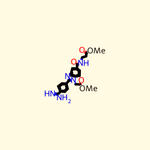 COC(=O)CCNC(=O)c1ccc2c(c1)nc(-c1ccc(C(=N)N)cc1)n2CC(=O)OC